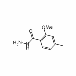 COc1cc(C)ccc1C(=O)NN